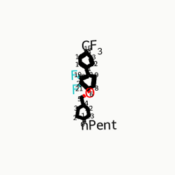 CCCCCC1CCC(COc2ccc(-c3ccc(C(F)(F)F)cc3)c(F)c2F)CC1